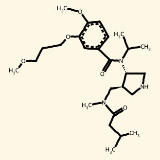 COCCCOc1cc(C(=O)N(C(C)C)[C@@H]2CNC[C@H]2CN(C)C(=O)CC(C)C)ccc1OC